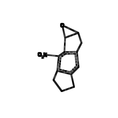 O=[N+]([O-])c1c2c(cc3c1C1OC1C3)CCC2